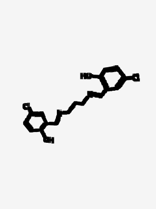 Oc1ccc(Cl)cc1/C=N/CCC/N=C/c1cc(Cl)ccc1O